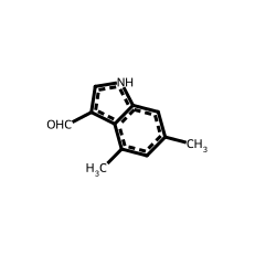 Cc1cc(C)c2c(C=O)c[nH]c2c1